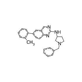 Cc1ccccc1-c1ccc2nc(NC3CCN(Cc4ccccc4)C3)ncc2c1